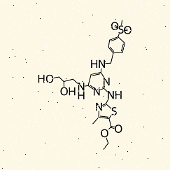 CCOC(=O)c1sc(Nc2nc(NCc3ccc(S(C)(=O)=O)cc3)cc(NCC(O)CO)n2)nc1C